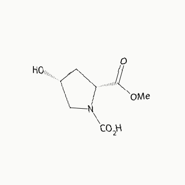 COC(=O)[C@H]1C[C@@H](O)CN1C(=O)O